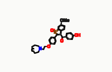 COc1ccc2c(C(=O)c3ccc(O)cc3)c(-c3ccc(OCCN4CCCCCC4)cc3)[s+]([O-])c2c1